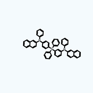 c1ccc(N(c2ccc([Si](c3ccccc3)(c3ccccc3)c3cccc(N(c4ccccc4)c4ccc5ccccc5c4)c3)cc2)c2ccc3ccccc3c2)cc1